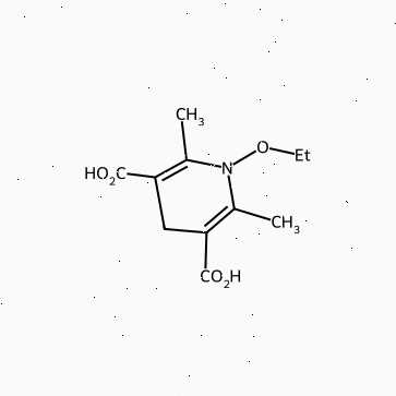 CCON1C(C)=C(C(=O)O)CC(C(=O)O)=C1C